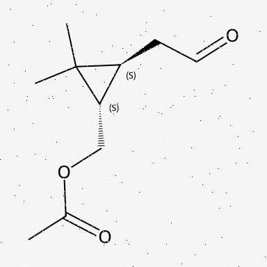 CC(=O)OC[C@H]1[C@H](CC=O)C1(C)C